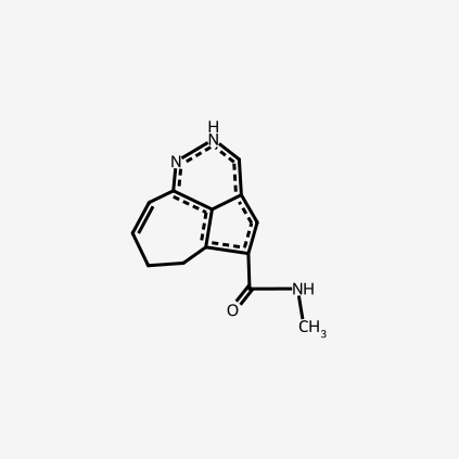 CNC(=O)c1cc2c[nH]nc3c-2c1CCC=C3